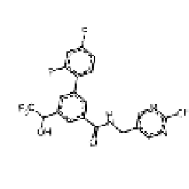 O=C(NCc1cnc(C(F)(F)F)nc1)c1cc(-c2ccc(F)cc2F)cc(C(O)C(F)(F)F)c1